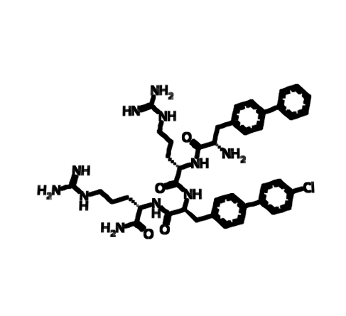 N=C(N)NCCC[C@H](NC(=O)[C@H](Cc1ccc(-c2ccc(Cl)cc2)cc1)NC(=O)[C@H](CCCNC(=N)N)NC(=O)[C@@H](N)Cc1ccc(-c2ccccc2)cc1)C(N)=O